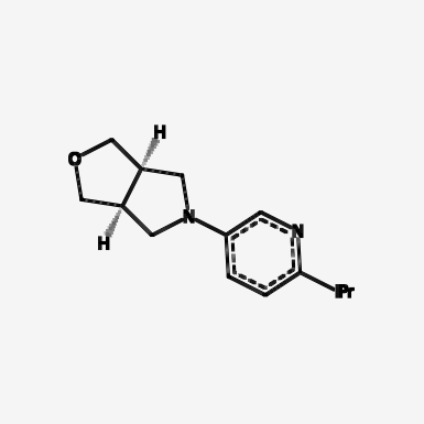 CC(C)c1ccc(N2C[C@H]3COC[C@H]3C2)cn1